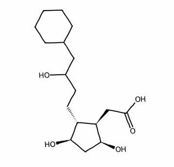 O=C(O)C[C@@H]1[C@@H](CCC(O)CC2CCCCC2)[C@H](O)C[C@@H]1O